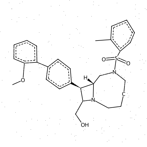 COc1ccccc1-c1ccc([C@@H]2C(CO)N3CCCCN(S(=O)(=O)c4ccccc4C)C[C@@H]23)cc1